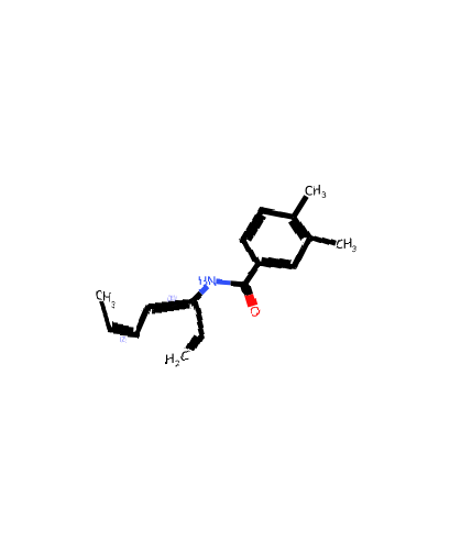 C=C/C(=C\C=C/C)NC(=O)c1ccc(C)c(C)c1